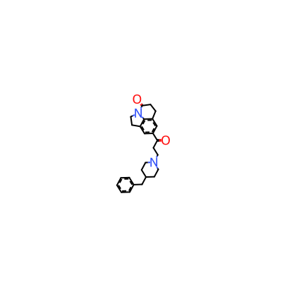 O=C(CCN1CCC(Cc2ccccc2)CC1)c1cc2c3c(c1)CCN3C(=O)CC2